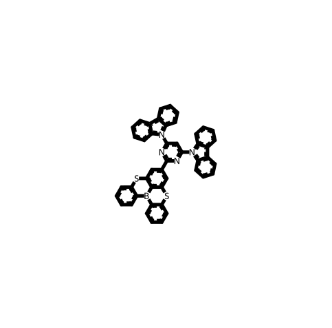 c1ccc2c(c1)Sc1cc(-c3nc(-n4c5ccccc5c5ccccc54)cc(-n4c5ccccc5c5ccccc54)n3)cc3c1B2c1ccccc1S3